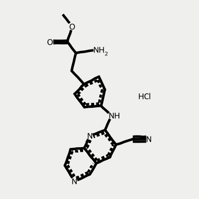 COC(=O)C(N)Cc1ccc(Nc2nc3ccncc3cc2C#N)cc1.Cl